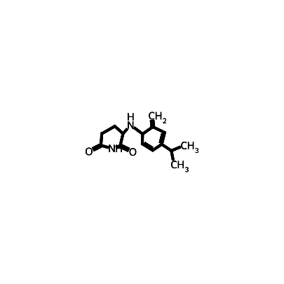 C=C1C=C(C(C)C)C=CC1NC1CCC(=O)NC1=O